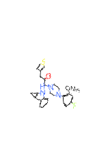 COc1cc(F)ccc1N1CCN(CC(=O)Cc2ccsc2)CC1.c1ccc2c(c1)NC1CC21